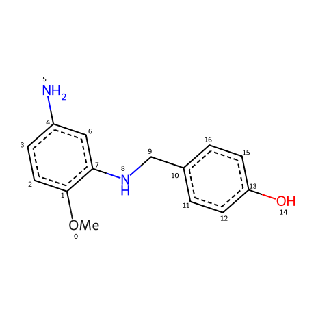 COc1ccc(N)cc1NCc1ccc(O)cc1